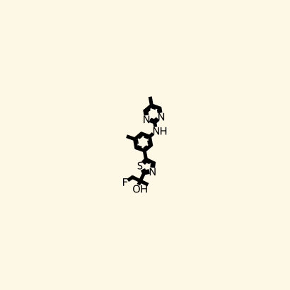 Cc1cnc(Nc2cc(C)cc(-c3cnc(C(C)(O)CF)s3)c2)nc1